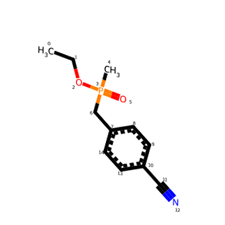 CCOP(C)(=O)Cc1ccc(C#N)cc1